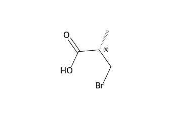 C[C@H](CBr)C(=O)O